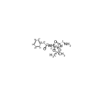 CC1(C)O[C@@H]2[C@@H](CN)OC[C@]2(CNC(=O)Cc2ccccc2)O1